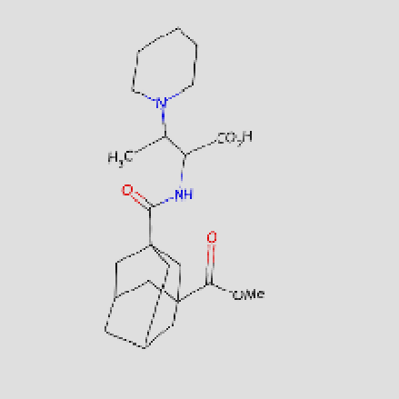 COC(=O)C12CC3CC(CC(C(=O)NC(C(=O)O)C(C)N4CCCCC4)(C3)C1)C2